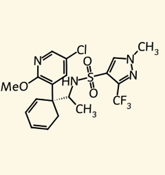 COc1ncc(Cl)cc1[C@]1(C(C)NS(=O)(=O)c2cn(C)nc2C(F)(F)F)C=CC=CC1